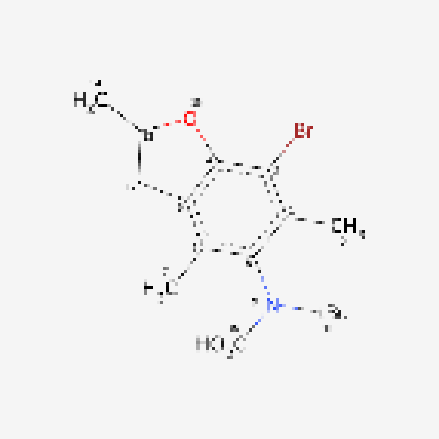 Cc1c(Br)c2c(c(C)c1N(C(=O)O)C(C)(C)C)CC(C)O2